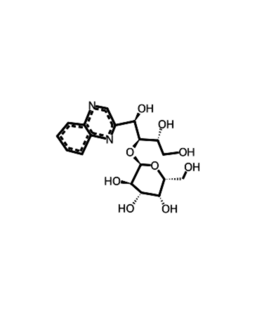 OC[C@@H](O)[C@@H](O[C@H]1O[C@H](CO)[C@H](O)[C@H](O)[C@H]1O)[C@H](O)c1cnc2ccccc2n1